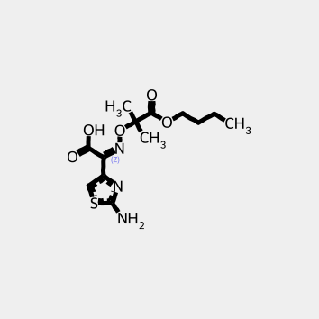 CCCCOC(=O)C(C)(C)O/N=C(\C(=O)O)c1csc(N)n1